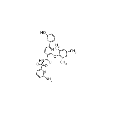 Cc1cc(C)c(Oc2nc(-c3cccc(O)c3)ccc2C(=O)NS(=O)(=O)c2cccc(N)n2)c(C)c1